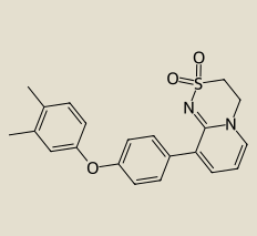 Cc1ccc(Oc2ccc(C3=CC=CN4CCS(=O)(=O)N=C34)cc2)cc1C